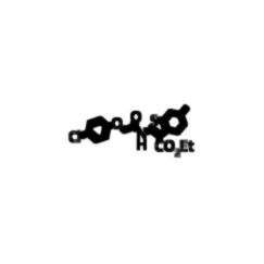 CCOC(=O)c1c(NC(=O)COc2ccc(Cl)cc2)sc2c1CCC(C)C2